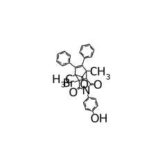 CC12C(=O)C(C)(C(c3ccccc3)=C1c1ccccc1)C1(Br)C(=O)N(c3ccc(O)cc3)C(=O)C21